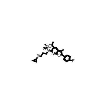 CCc1cc2c(C)c(-c3ccc(F)cc3)oc2nc1N(CCCSC1CC1)S(C)(=O)=O